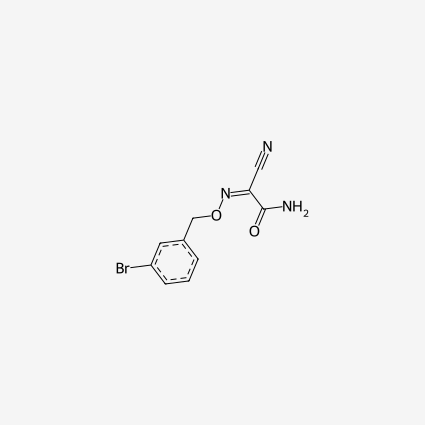 N#CC(=NOCc1cccc(Br)c1)C(N)=O